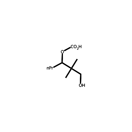 CCCC(OC(=O)O)C(C)(C)CO